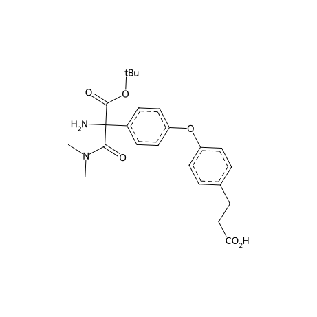 CN(C)C(=O)C(N)(C(=O)OC(C)(C)C)c1ccc(Oc2ccc(CCC(=O)O)cc2)cc1